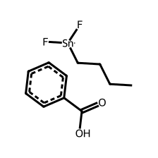 CCC[CH2][Sn]([F])[F].O=C(O)c1ccccc1